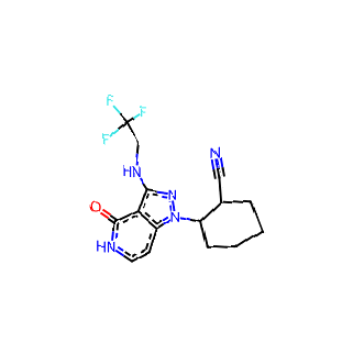 N#CC1CCCCC1n1nc(NCC(F)(F)F)c2c(=O)[nH]ccc21